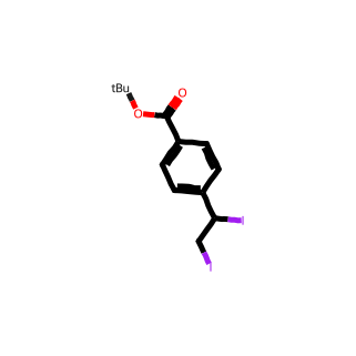 CC(C)(C)OC(=O)c1ccc(C(I)CI)cc1